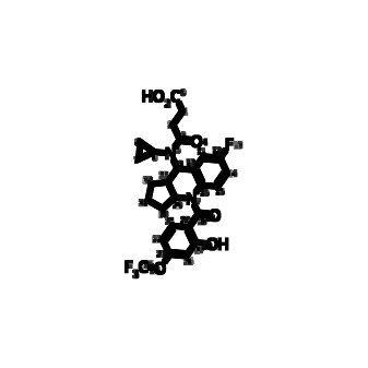 O=C(O)CCC(=O)N(C1CC1)C1c2cc(F)ccc2N(C(=O)c2ccc(OC(F)(F)F)cc2O)C2CCCC21